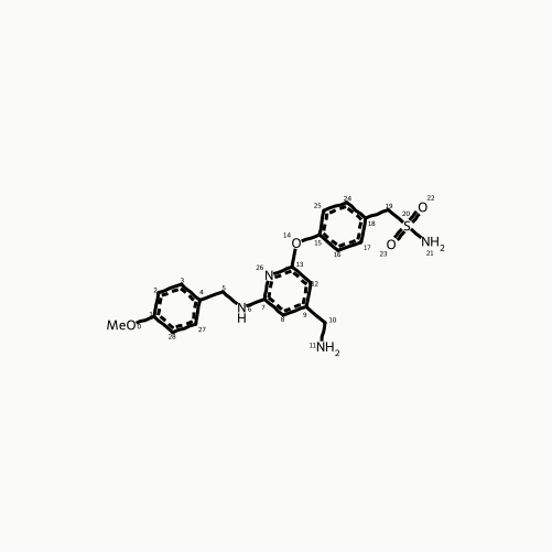 COc1ccc(CNc2cc(CN)cc(Oc3ccc(CS(N)(=O)=O)cc3)n2)cc1